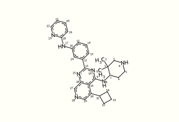 CC1(C)CNCCC1Nc1nc(-c2cccc(Nc3ccccn3)c2)nc2cncc(C3CCC3)c12